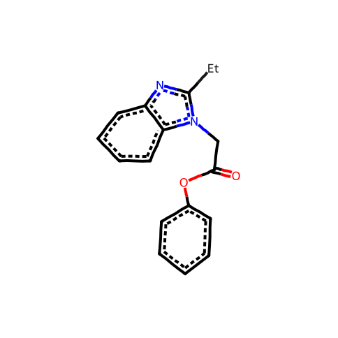 CCc1nc2ccccc2n1CC(=O)Oc1ccccc1